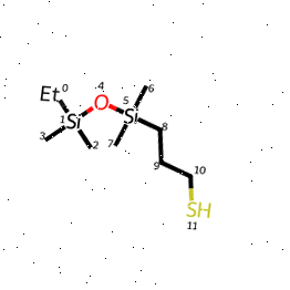 CC[Si](C)(C)O[Si](C)(C)CCCS